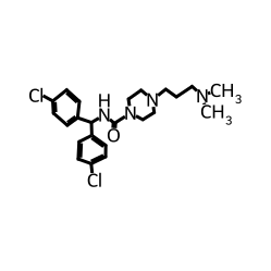 CN(C)CCCN1CCN(C(=O)NC(c2ccc(Cl)cc2)c2ccc(Cl)cc2)CC1